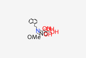 COCCN(CCCc1cccc2ccccc12)C[C@H](N=O)[C@@H](O)[C@H](O)[C@H](O)CO